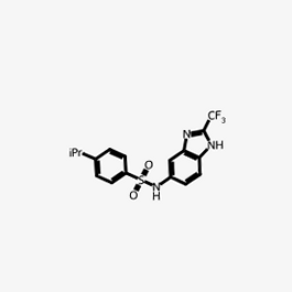 CC(C)c1ccc(S(=O)(=O)Nc2ccc3[nH]c(C(F)(F)F)nc3c2)cc1